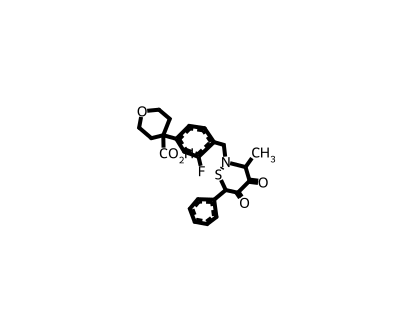 CC1C(=O)C(=O)C(c2ccccc2)SN1Cc1ccc(C2(C(=O)O)CCOCC2)cc1F